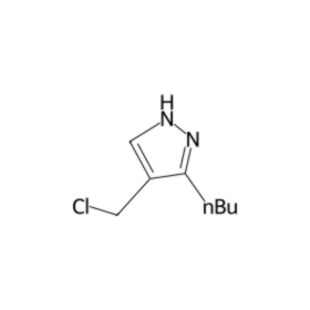 CCCCc1n[nH]cc1CCl